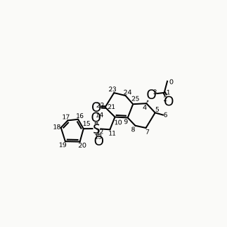 CC(=O)O[C@@H]1C(C)CCC2=C(CS(=O)(=O)c3ccccc3)C(=O)CCC21